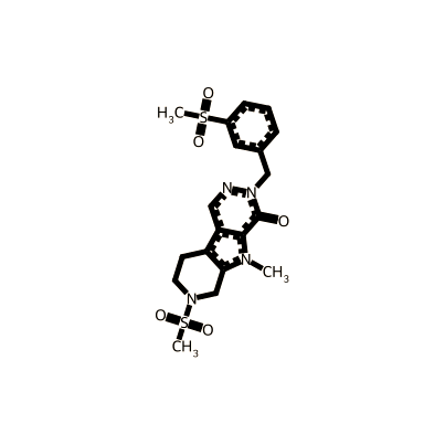 Cn1c2c(c3cnn(Cc4cccc(S(C)(=O)=O)c4)c(=O)c31)CCN(S(C)(=O)=O)C2